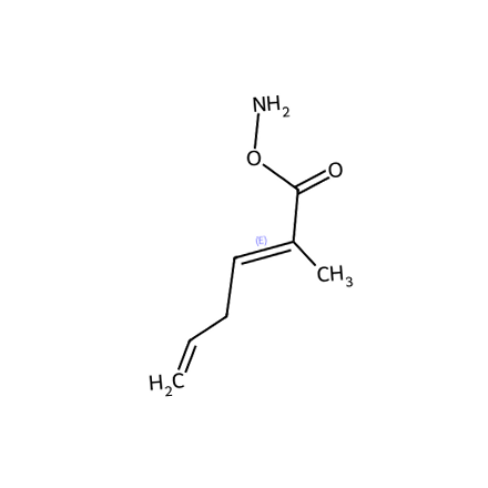 C=CC/C=C(\C)C(=O)ON